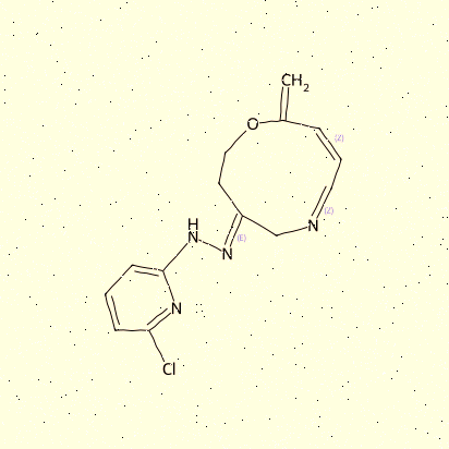 C=C1/C=C\C=N/C/C(=N/Nc2cccc(Cl)n2)CCO1